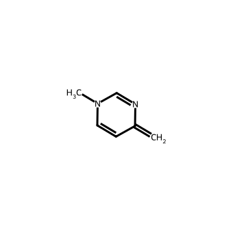 C=C1C=CN(C)C=N1